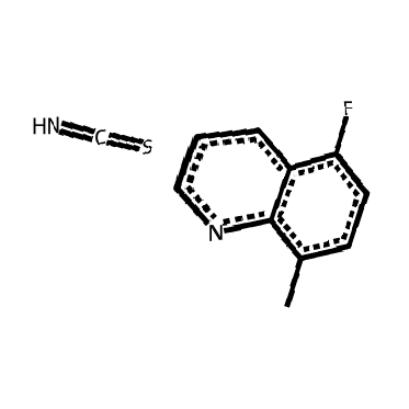 Cc1ccc(F)c2cccnc12.N=C=S